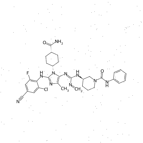 C=N/C(=N\c1c(C)nc(Nc2c(F)cc(C#N)cc2Cl)n1[C@H]1CC[C@@H](C(N)=O)CC1)N[C@@H]1CCCN(C(=O)Nc2ccccc2)C1